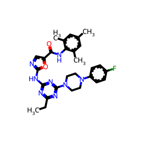 CCc1nc(Nc2ncc(C(=O)Nc3c(C)cc(C)cc3C)o2)nc(N2CCN(c3ccc(F)cc3)CC2)n1